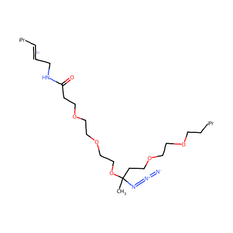 CC(C)/C=C/CNC(=O)CCOCCOCCOC(C)(CCOCCOCCC(C)C)N=[N+]=[N-]